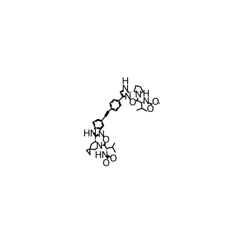 COC(=O)N[C@H](C(=O)N1CCC[C@H]1c1nc(-c2ccc(C#Cc3ccc4[nH]c([C@@H]5CC6(CC6)CN5C(=O)[C@@H](NC(=O)OC)C(C)C)nc4c3)cc2)c[nH]1)C(C)C